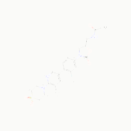 COC(=O)NCC1CN(c2ccc(-c3cnc(N4CCS(=O)(=O)CC4)c(C)c3)c(F)c2)C(=O)O1